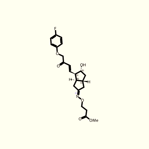 COC(=O)CCO/N=C1\C[C@H]2C[C@@H](O)[C@H](C=CC(=O)COc3ccc(F)cc3)[C@@H]2C1